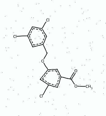 COC(=O)c1cc(Cl)cc(OCc2cc(Cl)cc(Cl)c2)c1